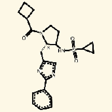 O=C(C1CCC1)N1CCC(NS(=O)(=O)C2CC2)[C@@H]1Cc1csc(-c2ccccc2)n1